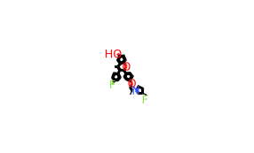 CC1=C(c2ccc(F)cc2)C(c2ccc(OC[C@H](C)N3CC[C@@H](CF)C3)cc2)Oc2ccc(O)cc21